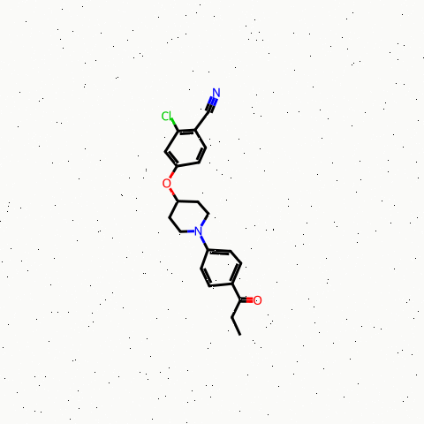 CCC(=O)c1ccc(N2CCC(Oc3ccc(C#N)c(Cl)c3)CC2)cc1